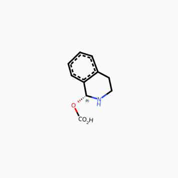 O=C(O)O[C@H]1NCCc2ccccc21